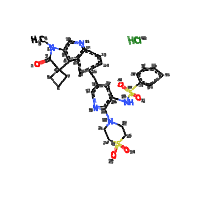 CN1C(=O)C2(CCC2)c2c1cnc1ccc(-c3cnc(N4CCS(=O)(=O)CC4)c(NS(=O)(=O)c4ccccc4)c3)cc21.Cl